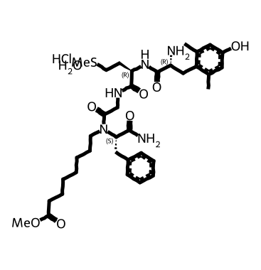 COC(=O)CCCCCCCN(C(=O)CNC(=O)[C@@H](CCSC)NC(=O)[C@H](N)Cc1c(C)cc(O)cc1C)[C@@H](Cc1ccccc1)C(N)=O.Cl.O